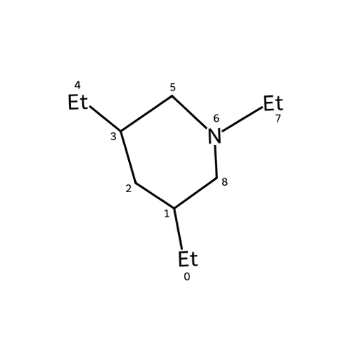 CCC1CC(CC)CN(CC)C1